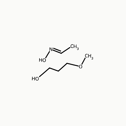 CC=NO.COCCCO